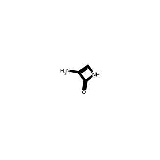 NC1=CNC1=O